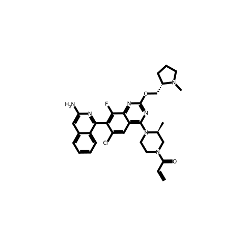 C=CC(=O)N1CCN(c2nc(OC[C@@H]3CCCN3C)nc3c(F)c(-c4nc(N)cc5ccccc45)c(Cl)cc23)[C@@H](C)C1